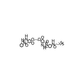 COc1cc2c(cc1OCCCOc1cc3c(cc1OC)C(=O)N1c4ccccc4C[C@H]1CN3)N=C[C@@H]1Cc3ccc(NC(=O)CCC(C)(C)S(C)=S)cc3N1C2=O